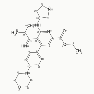 CCOC(=O)c1cc(-c2ccc(N3CCOCC3)cc2)c(C(=N)C(C)C)c(NC2CCNC2)n1